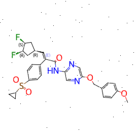 COc1ccc(COc2cnc(NC(=O)/C(=C/[C@H]3C[C@@H](F)[C@@H](F)C3)c3ccc(S(=O)(=O)C4CC4)cc3)cn2)cc1